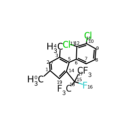 Cc1[c]c(C)c(-c2cccc(Cl)c2Cl)c(C(F)(C(F)(F)F)C(F)(F)F)c1